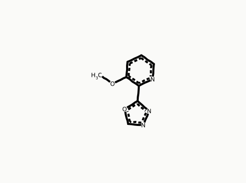 COc1cccnc1-c1nnco1